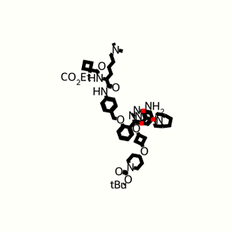 CCOC(=O)C1(C(=O)NC(CCCCN(C)C)C(=O)Nc2ccc(COc3ccccc3-c3cc(N4CC5CCC(C4)N5c4ccnc(OC5CC(OC6CCN(C(=O)OC(C)(C)C)CC6)C5)c4)c(N)nn3)cc2)CCC1